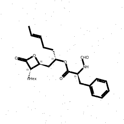 CC=CCC[C@@H](C[C@@H]1OC(=O)[C@H]1CCCCCC)OC(=O)[C@H](Cc1ccccc1)NC=O